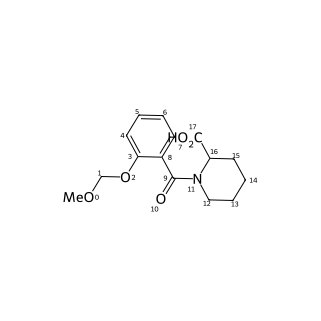 COCOc1ccccc1C(=O)N1CCCCC1C(=O)O